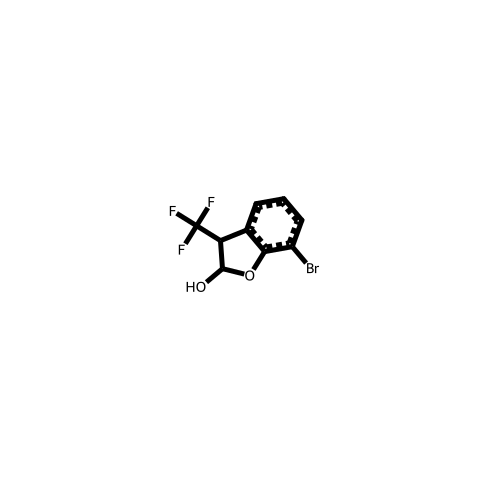 OC1Oc2c(Br)cccc2C1C(F)(F)F